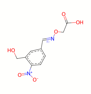 O=C(O)CO/N=C/c1ccc([N+](=O)[O-])c(CO)c1